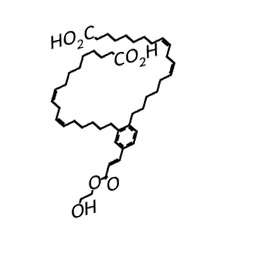 O=C(O)CCCCCCC/C=C\C/C=C\CCCCCc1ccc(/C=C/C(=O)OCCO)cc1CCCCC/C=C\C/C=C\CCCCCCCC(=O)O